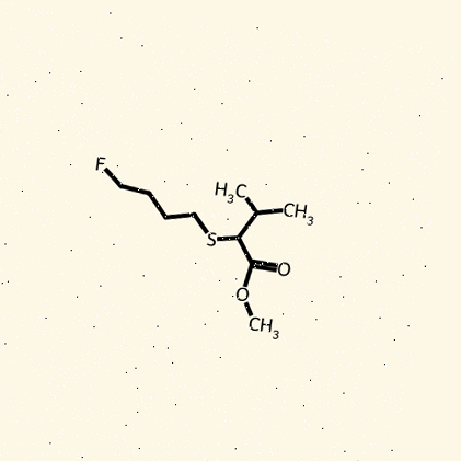 COC(=O)C(SCCCCF)C(C)C